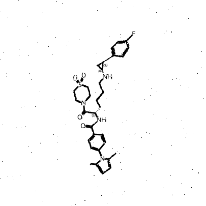 Cc1ccc(C)n1-c1ccc(C(=O)N[C@@H](CCCCN[C@@H]2C[C@H]2c2ccc(F)cc2)C(=O)N2CCS(=O)(=O)CC2)cc1